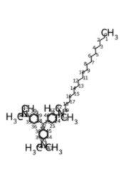 CCCCCCCCCCCCCCCCCCCC[N+](C)(C)c1ccc(C(c2ccc(N(C)C)cc2)c2ccc(N(C)C)cc2)cc1